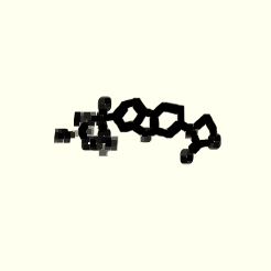 CC(C)[C@H](NS(=O)(=O)c1ccc2c(c1)sc1cc(N3CCOC3=O)ccc12)C(=O)O